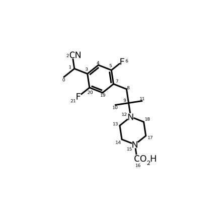 CC(C#N)c1cc(F)c(CC(C)(C)N2CCN(C(=O)O)CC2)cc1F